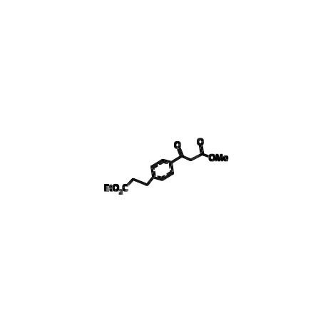 CCOC(=O)CCc1ccc(C(=O)CC(=O)OC)cc1